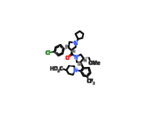 COC[C@H]1CN(C(=O)[C@@H]2CN(C3CCCC3)C[C@H]2c2ccc(Cl)cc2)C[C@@H]1c1ccc(C(F)(F)F)cc1N1CCC(C(=O)O)CC1